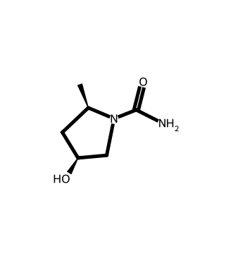 C[C@@H]1C[C@H](O)CN1C(N)=O